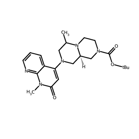 CC1CN(c2cc(=O)n(C)c3ncccc23)C[C@@H]2CN(C(=O)OC(C)(C)C)CCN12